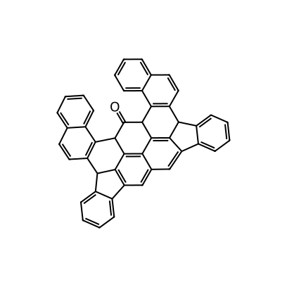 O=C1C2c3c(ccc4ccccc34)C3c4ccccc4-c4cc5cc6c7c(c5c2c43)C1c1c(ccc2ccccc12)C7c1ccccc1-6